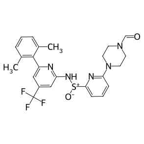 Cc1cccc(C)c1-c1cc(C(F)(F)F)cc(N[S+]([O-])c2cccc(N3CCN(C=O)CC3)n2)n1